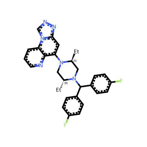 CC[C@H]1CN(C(c2ccc(F)cc2)c2ccc(F)cc2)[C@H](CC)CN1c1cc2nncn2c2cccnc12